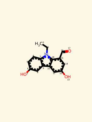 CCn1c2ccc(O)cc2c2cc(O)cc(C=O)c21